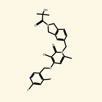 Cc1cc(OCc2ccc(F)cc2F)c(Cl)c(=O)n1Cc1ccc2c(c1)CN(C(=O)C(C)(C)O)C2